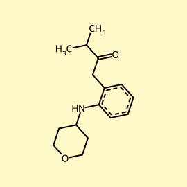 CC(C)C(=O)Cc1ccccc1NC1CCOCC1